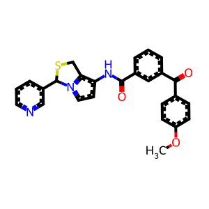 COc1ccc(C(=O)c2cccc(C(=O)Nc3ccn4c3CSC4c3cccnc3)c2)cc1